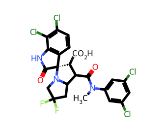 CN(C(=O)C1C2CC(F)(F)CN2[C@]2(C(=O)Nc3c2ccc(Cl)c3Cl)C1C(=O)O)c1cc(Cl)cc(Cl)c1